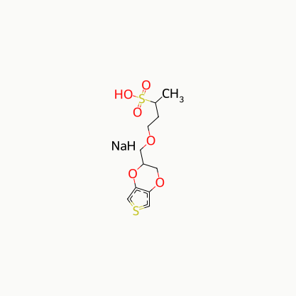 CC(CCOCC1COc2cscc2O1)S(=O)(=O)O.[NaH]